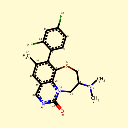 CN(C)C1CSc2c(-c3ccc(F)cc3F)c(C(F)(F)F)cc3cnc(=O)n(c23)C1